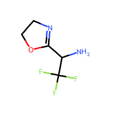 NC(C1=NCCO1)C(F)(F)F